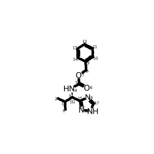 CC(C)[C@H](NC(=O)OCc1ccccc1)c1nc[nH]n1